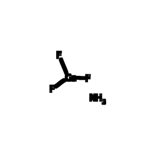 N.[F][Ga]([F])[F]